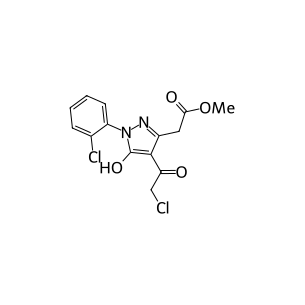 COC(=O)Cc1nn(-c2ccccc2Cl)c(O)c1C(=O)CCl